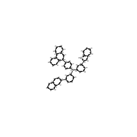 c1cc(-c2ccc3ccccc3c2)cc(N(c2ccc(-c3cc4ccccc4c4ccccc34)cc2)c2cccc(-c3cc4ccccc4o3)c2)c1